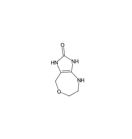 O=c1[nH]c2c([nH]1)NCCOC2